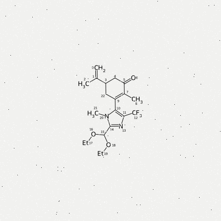 C=C(C)C1CC(=O)C(C)=C(c2c(C(F)(F)F)nc(C(OCC)OCC)n2C)C1